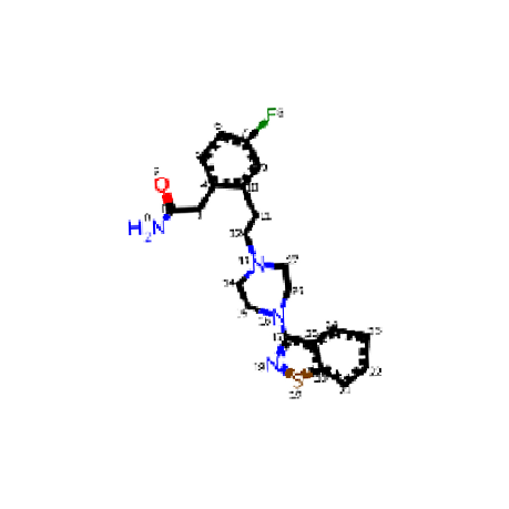 NC(=O)Cc1ccc(F)cc1CCN1CCN(c2nsc3ccccc23)CC1